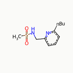 CCCCc1cccc(CNS(C)(=O)=O)n1